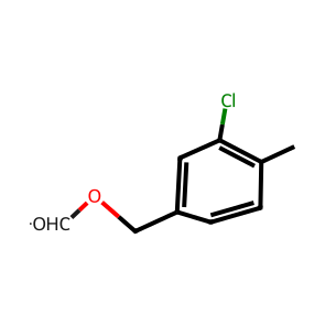 Cc1ccc(CO[C]=O)cc1Cl